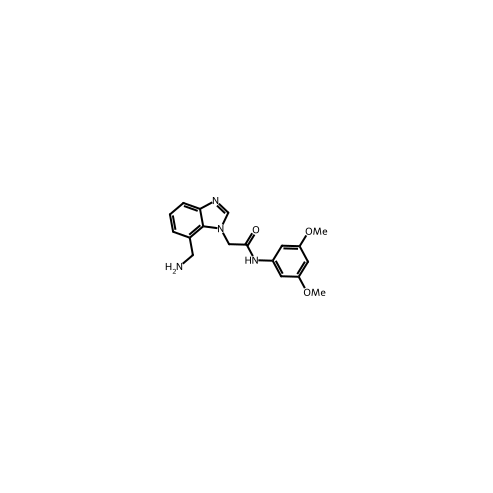 COc1cc(NC(=O)Cn2cnc3cccc(CN)c32)cc(OC)c1